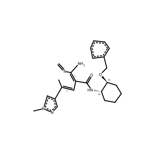 C=N/C(N)=C(\C=C(/C)c1cnn(C)c1)C(=O)N[C@H]1CCCC[C@@H]1OCc1ccccc1